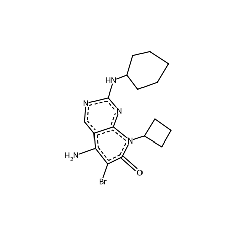 Nc1c(Br)c(=O)n(C2CCC2)c2nc(NC3CCCCC3)ncc12